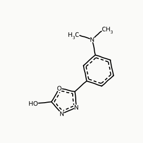 CN(C)c1cccc(-c2nnc(O)o2)c1